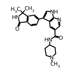 CN1CCC(NC(=O)c2cnc3[nH]cc(-c4ccc5c(c4)C(C)(C)NC5=O)c3c2)CC1